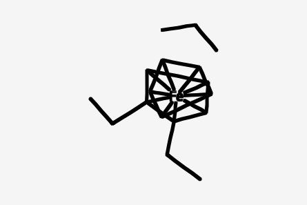 CCC.CC[C]12[CH]3[CH]4[CH]5[C]1(CC)[Fe]43521678[CH]2[CH]1[CH]6[CH]7[CH]28